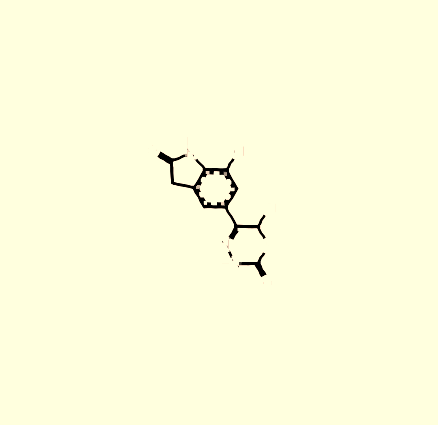 CC1SC(=O)NN=C1c1cc(Cl)c2c(c1)CC(=O)N2